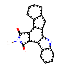 O=c1c2c(c(=O)n1Br)c1c3ccccc3nc1c1cc3ccccc3c12